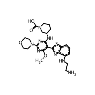 COc1nc(N2CCOCC2)nc(N[C@@H]2CCCN(C(=O)O)C2)c1-c1nc2c(NCCN)cccc2s1